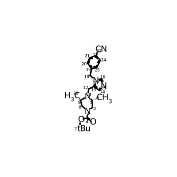 C[C@@H]1CN(C(=O)OC(C)(C)C)C[C@H](C)N1Cc1cncn1Cc1ccc(C#N)cc1